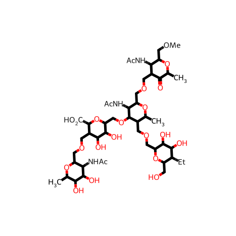 CCC1C(CO)OC(COCC2C(C)OC(COCC3C(=O)C(C)OC(COC)C3NC(C)=O)C(NC(C)=O)C2OCC2OC(C(=O)O)C(COCC3OC(C)C(O)C(O)C3NC(C)=O)C(O)C2O)C(O)C1O